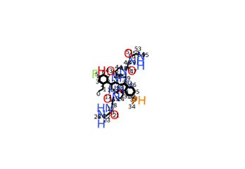 CCc1cc(F)ccc1/C(C[C@@H]1CCCN1C(=O)CNC(=O)[C@H](C)NC)=C(\N)c1[nH]c2cc(PC)ccc2c1C[C@@H]1C[C@H](O)CN1C(=O)CNC(=O)[C@H](C)NC